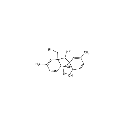 CCCC(C1(CC(C)C)C=C(C)C=CC1O)C1(CC(C)C)C=C(C)C=CC1O